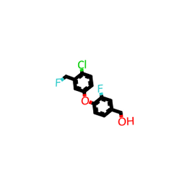 OCc1ccc(Oc2ccc(Cl)c(CF)c2)c(F)c1